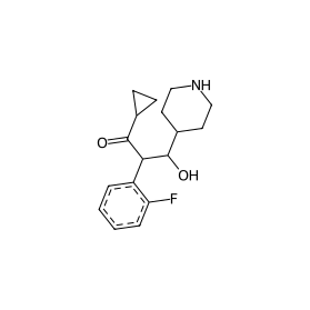 O=C(C1CC1)C(c1ccccc1F)C(O)C1CCNCC1